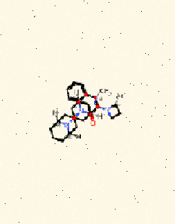 CC(=O)[C@@H]1CCN1c1nc2ccccc2n(C2C[C@H]3CCC[C@@H](C2)N3[C@H]2C[C@@H]3C[C@@H](C)C[C@@H](C3)C2)c1=O